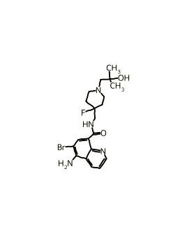 CC(C)(O)CN1CCC(F)(CNC(=O)c2cc(Br)c(N)c3cccnc23)CC1